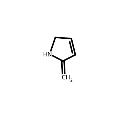 C=C1C=CCN1